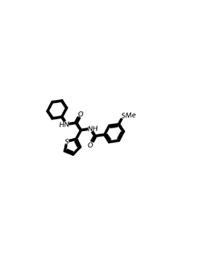 CSc1cccc(C(=O)NC(C(=O)NC2CCCCC2)c2cccs2)c1